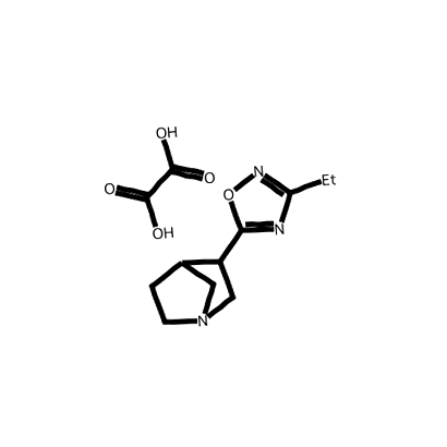 CCc1noc(C2CN3CCC2C3)n1.O=C(O)C(=O)O